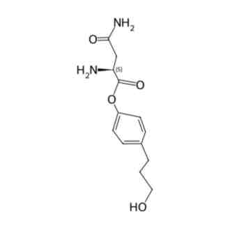 NC(=O)C[C@H](N)C(=O)Oc1ccc(CCCO)cc1